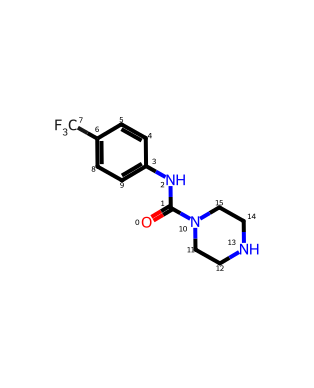 O=C(Nc1ccc(C(F)(F)F)cc1)N1CCNCC1